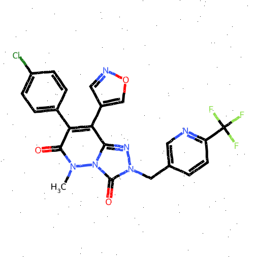 Cn1c(=O)c(-c2ccc(Cl)cc2)c(-c2cnoc2)c2nn(Cc3ccc(C(F)(F)F)nc3)c(=O)n21